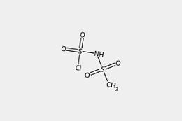 CS(=O)(=O)NS(=O)(=O)Cl